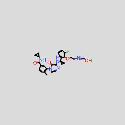 Cc1ccc(C(=O)NC2CC2)cc1-n1ccnc(NC2(c3cccc(F)c3OCCNCCO)CC2)c1=O